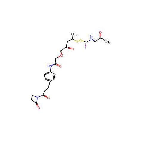 CC(=O)CNC(I)SSC(C)CC(=O)COCC(=O)Nc1ccc(CCC(=O)N2CCC2=O)cc1